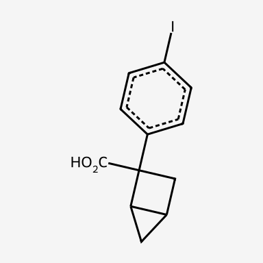 O=C(O)C1(c2ccc(I)cc2)CC2CC21